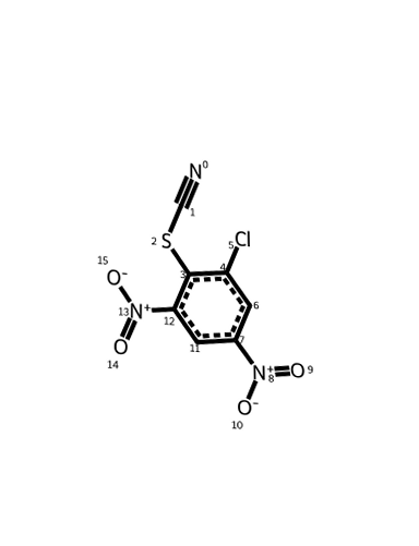 N#CSc1c(Cl)cc([N+](=O)[O-])cc1[N+](=O)[O-]